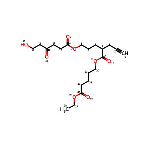 C#CCC(CCCOC(=O)CCC(=O)CCO)C(=O)OCCCCC(=O)OCC